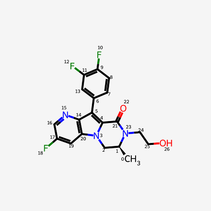 C[C@H]1Cn2c(c(-c3ccc(F)c(F)c3)c3ncc(F)cc32)C(=O)N1CCO